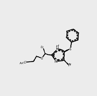 CCC(OCCOC(C)=O)c1nc(C(C)C)c(Sc2ccccc2)[nH]1